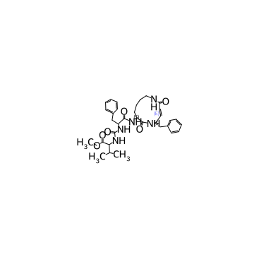 COC(=O)C(NC(=O)NC(Cc1ccccc1)C(=O)N[C@H]1CCCCNC(=O)/C=C/[C@H](Cc2ccccc2)NC1=O)C(C)C